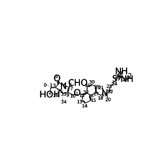 C[C@@H](O)[C@H]1C(=O)N2C(C=O)=C(COc3cccc4c(C[N+](C)(C)CCCSC(=N)N)cccc34)[C@H](C)[C@H]12